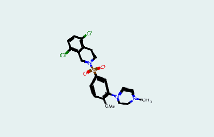 COc1ccc(S(=O)(=O)N2CCc3c(Cl)ccc(Cl)c3C2)cc1N1CCN(C)CC1